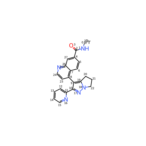 CC(C)NC(=O)c1ccc2c(-c3c(-c4ccccn4)nn4c3CCC4)ccnc2c1